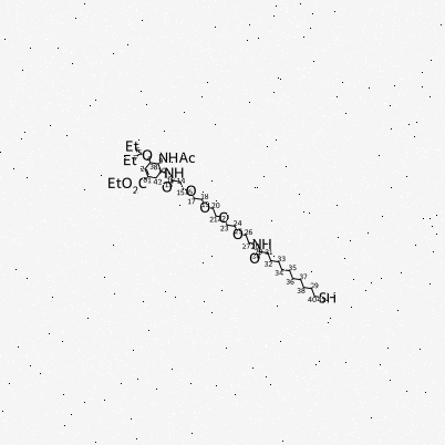 CCOC(=O)C1=C[C@@H](OC(CC)CC)[C@H](NC(C)=O)[C@@H](NC(=O)CCOCCOCCOCCOCCNC(=O)CCCCCCCCCCS)C1